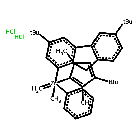 Cl.Cl.[CH2]=[Zr]([CH3])([C]1=C(C)C(C(C)(C)C)=CC1C)([c]1ccccc1)[c]1cc(C(C)(C)C)cc2c1Cc1ccc(C(C)(C)C)cc1-2